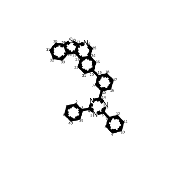 c1ccc(-c2nc(-c3ccccc3)nc(-c3cccc(-c4ccc5c(cnc6sc7ccccc7c65)c4)c3)n2)cc1